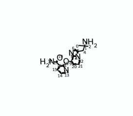 CC(C)(N)Cc1cnc2c(Oc3ncccc3C(N)=O)cccn12